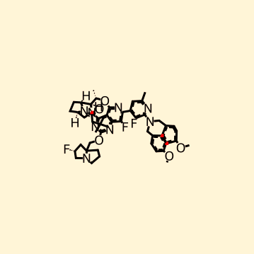 COc1ccc(CN(Cc2ccc(OC)cc2)c2nc(C)cc(-c3nc4c5c(nc(OCC67CCCN6C[C@H](F)C7)nc5c3F)N3C[C@H]5CC[C@@H]([C@H]3[C@H](C)O4)N5C(=O)CC(C)(C)C)c2F)cc1